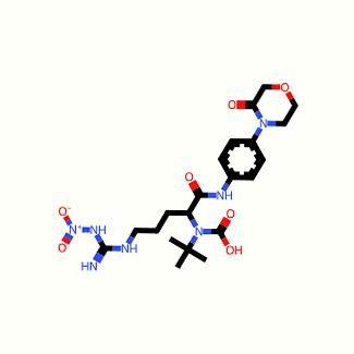 CC(C)(C)N(C(=O)O)C(CCCNC(=N)N[N+](=O)[O-])C(=O)Nc1ccc(N2CCOCC2=O)cc1